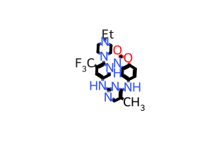 CCN1CCN(c2ncc(Nc3ncc(C)c(Nc4ccc5oc(=O)[nH]c5c4)n3)cc2C(F)(F)F)CC1